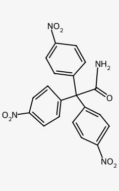 NC(=O)C(c1ccc([N+](=O)[O-])cc1)(c1ccc([N+](=O)[O-])cc1)c1ccc([N+](=O)[O-])cc1